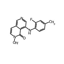 Cc1ccc(Nc2cncc3ccn(O)c(=O)c23)c(F)c1